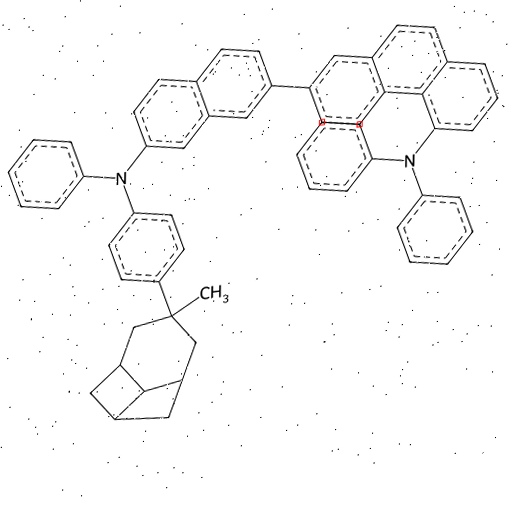 CC1(c2ccc(N(c3ccccc3)c3ccc4ccc(-c5ccc6c(ccc7cccc(N(c8ccccc8)c8ccccc8)c76)c5)cc4c3)cc2)CC2CC3CC(C1)C32